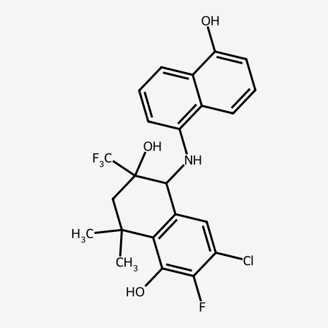 CC1(C)CC(O)(C(F)(F)F)C(Nc2cccc3c(O)cccc23)c2cc(Cl)c(F)c(O)c21